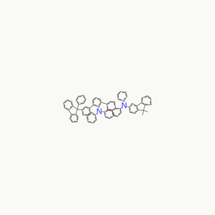 CC1(C)c2ccccc2-c2cc(N(c3ccccc3)c3cccc4cc(-c5cccc(-c6cccc(C7(c8ccccc8)c8ccccc8-c8ccccc87)c6)c5N(c5ccccc5)c5ccccc5)ccc34)ccc21